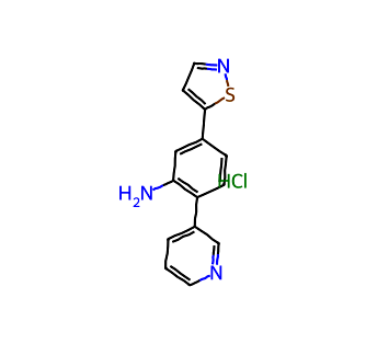 Cl.Nc1cc(-c2ccns2)ccc1-c1cccnc1